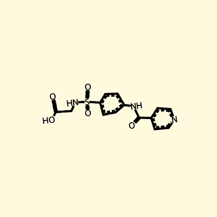 O=C(O)CNS(=O)(=O)c1ccc(NC(=O)c2ccncc2)cc1